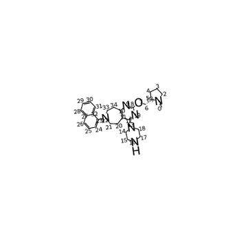 CN1CCC[C@H]1COc1nc2c(c(N3CCNCC3)n1)CCN(c1cccc3ccccc13)CC2